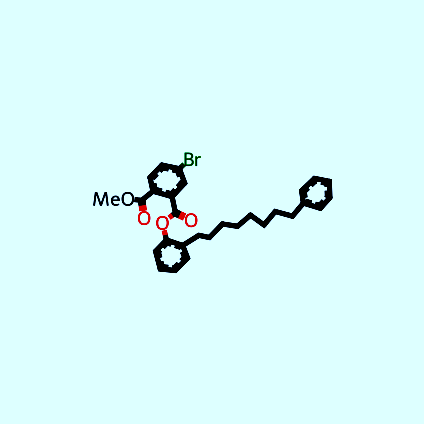 COC(=O)c1ccc(Br)cc1C(=O)Oc1ccccc1CCCCCCCCc1ccccc1